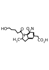 CC1Cc2cc(CC(=O)O)cc([N+](=O)[O-])c2N1C(=O)CCCCO